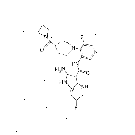 NC1NN2CC(F)CNC2C1C(=O)Nc1cncc(F)c1N1CCC(C(=O)N2CCC2)CC1